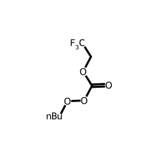 CCCCOOC(=O)OCC(F)(F)F